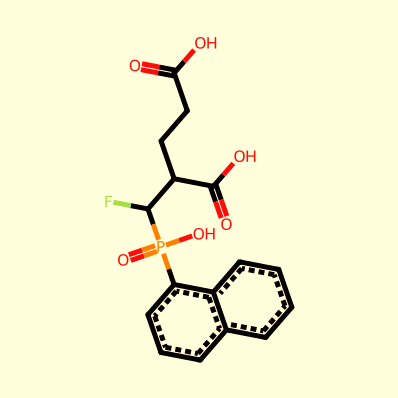 O=C(O)CCC(C(=O)O)C(F)P(=O)(O)c1cccc2ccccc12